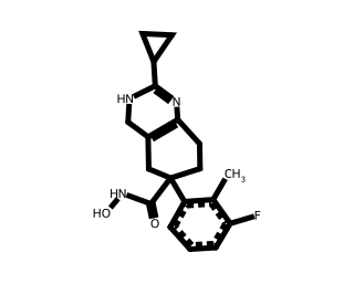 Cc1c(F)cccc1C1(C(=O)NO)CCC2=C(CNC(C3CC3)=N2)C1